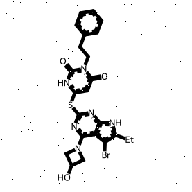 CCc1[nH]c2nc(Sc3cc(=O)n(CCc4ccccc4)c(=O)[nH]3)nc(N3CC(O)C3)c2c1Br